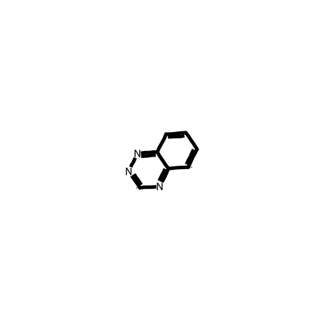 [c]1nnc2ccc[c]c2n1